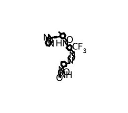 Cc1ccc(C(=O)Nc2ccc(CN3CCN(Cc4cccc(N5CCC(=O)NC5=O)c4)CC3)c(C(F)(F)F)c2)cc1C#Cc1cnc2cccnn12